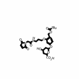 CC(C)(C)C(=O)OCc1ccc(OC2CC(O)CC(C(=O)O)O2)cc1OCCCNC(=O)CN1C(=O)C=CC1=O